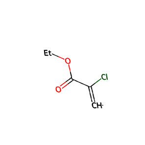 [CH]=C(Cl)C(=O)OCC